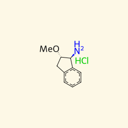 CO[C@H]1Cc2ccccc2[C@@H]1N.Cl